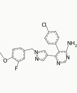 COc1ccc(Cn2cc(-c3ncnc(N)c3-c3ccc(Cl)cc3)cn2)cc1F